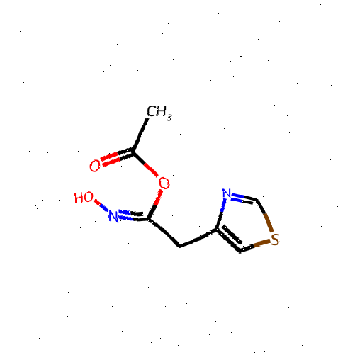 CC(=O)OC(Cc1cscn1)=NO